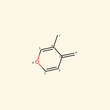 C=C1C=COC=C1C